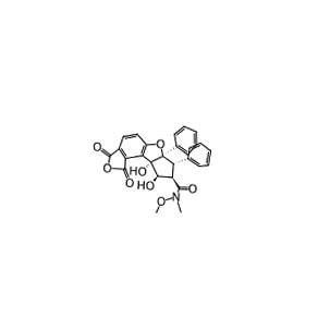 CON(C)C(=O)[C@H]1[C@@H](O)[C@@]2(O)c3c(ccc4c3C(=O)OC4=O)O[C@@]2(c2ccccc2)[C@@H]1c1ccccc1